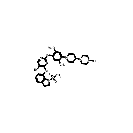 COc1cc(N2CCC(N3CCN(C)CC3)CC2)c(C)cc1Nc1ncc(Br)c(Nc2cccc3c2N(S(C)(=O)=O)CC3)n1